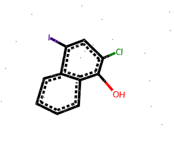 Oc1c(Cl)cc(I)c2ccccc12